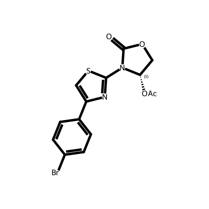 CC(=O)O[C@H]1COC(=O)N1c1nc(-c2ccc(Br)cc2)cs1